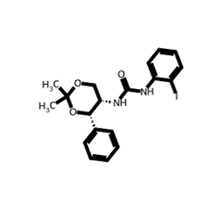 CC1(C)OC[C@H](NC(=O)Nc2ccccc2I)[C@H](c2ccccc2)O1